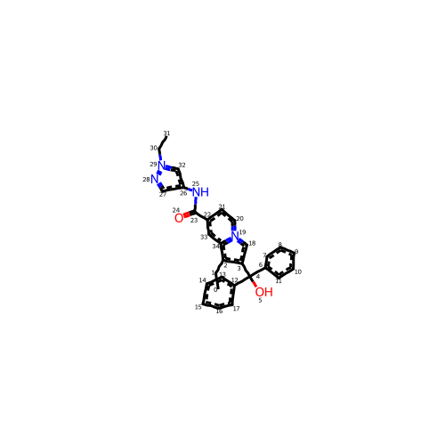 CCc1c(C(O)(c2ccccc2)c2ccccc2)cn2ccc(C(=O)Nc3cnn(CC)c3)cc12